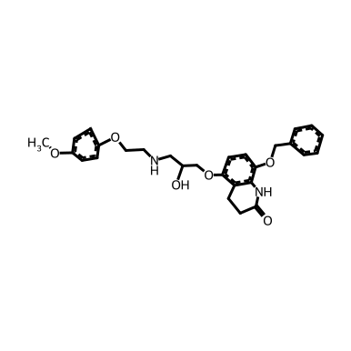 COc1ccc(OCCNCC(O)COc2ccc(OCc3ccccc3)c3c2CCC(=O)N3)cc1